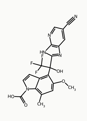 COc1cc(C)c2c(ccn2C(=O)O)c1C(O)(c1nc2cc(C#N)cnc2[nH]1)C(F)(F)F